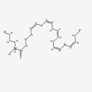 C=C(CCC/C=C\C/C=C\C/C=C\C/C=C\C/C=C\CC)N(C)CCCC